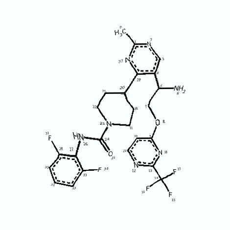 Cc1ncc(C(N)COc2ccnc(C(F)(F)F)n2)c(C2CCN(C(=O)Nc3c(F)cccc3F)CC2)n1